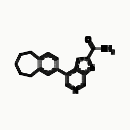 NC(=O)c1cc2c(-c3ccc4c(c3)CCCCC4)cncc2s1